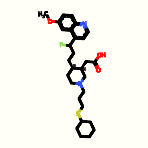 COc1ccc2nccc(C(F)CC[C@@H]3CCN(CCCSC4CCCCC4)C[C@@H]3CC(=O)O)c2c1